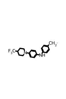 [CH2]c1ccc(Nc2ccc(N3CCC(C(F)(F)F)CC3)cc2)cc1